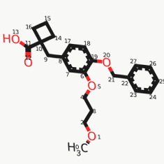 COCCCOc1cc(CC2(C(=O)O)CCC2)ccc1OCc1ccccc1